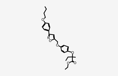 CCCCOc1ccc(-c2cc(COc3ccc(OC(C)(CC)C(=O)OCC)cc3)on2)cc1